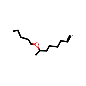 [CH]=CCCCCC(C)OCCCCC